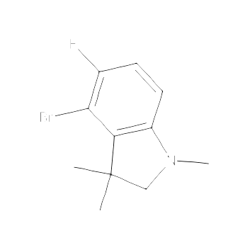 CN1CC(C)(C)c2c1ccc(F)c2Br